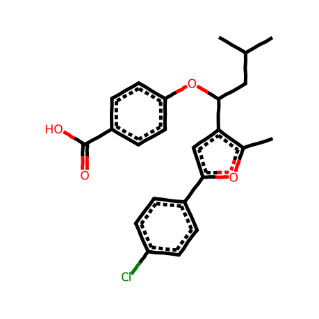 Cc1oc(-c2ccc(Cl)cc2)cc1C(CC(C)C)Oc1ccc(C(=O)O)cc1